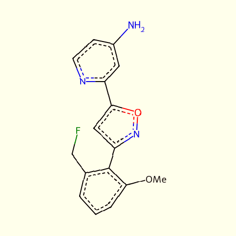 COc1cccc(CF)c1-c1cc(-c2cc(N)ccn2)on1